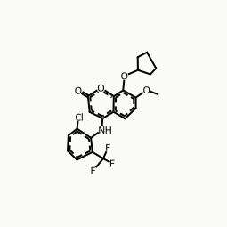 COc1ccc2c(Nc3c(Cl)cccc3C(F)(F)F)cc(=O)oc2c1OC1CCCC1